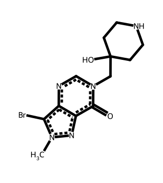 Cn1nc2c(=O)n(CC3(O)CCNCC3)cnc2c1Br